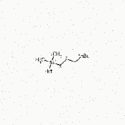 CCCCCCC[Si](C)(C)CC